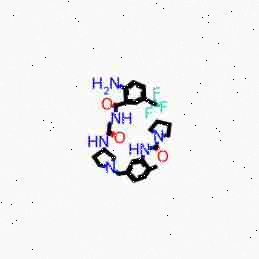 Cc1ccc(CN2CC[C@@H](NC(=O)CNC(=O)c3cc(C(F)(F)F)ccc3N)C2)cc1NC(=O)N1CCCC1